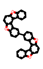 c1ccc2c(c1)oc1ccc3oc4ccc(-c5ccc6oc7ccc8oc9ccccc9c8c7c6c5)cc4c3c12